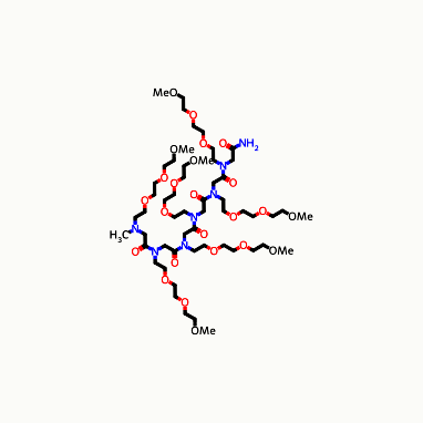 COCCOCCOCCN(C)CC(=O)N(CCOCCOCCOC)CC(=O)N(CCOCCOCCOC)CC(=O)N(CCOCCOCCOC)CC(=O)N(CCOCCOCCOC)CC(=O)N(CCOCCOCCOC)CC(N)=O